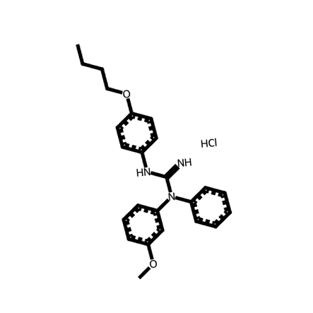 CCCCOc1ccc(NC(=N)N(c2ccccc2)c2cccc(OC)c2)cc1.Cl